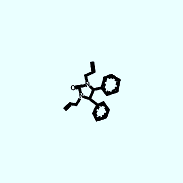 C=CCN1C(=O)N(CC=C)C(c2ccccc2)C1c1ccccc1